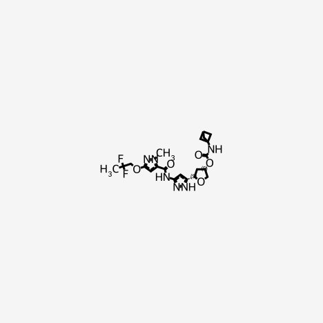 Cn1nc(OCC(C)(F)F)cc1C(=O)Nc1cc([C@@H]2C[C@H](OC(=O)NC34CC(C3)C4)CO2)[nH]n1